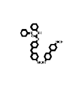 ON=C1CCC(C2CCC(N=C=NC3CCC(CC4CCC(/N=C(/NC5CCCCC5)ON=C5CCCCC5)CC4)CC3)CC2)CC1